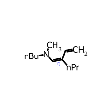 C=C/C(=C\N(C)CCCC)CCC